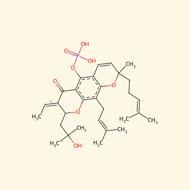 C/C=C1/C(=O)c2c(OP(=O)(O)O)c3c(c(CC=C(C)C)c2OC1CC(C)(C)O)OC(C)(CCC=C(C)C)C=C3